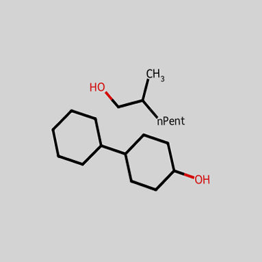 CCCCCC(C)CO.OC1CCC(C2CCCCC2)CC1